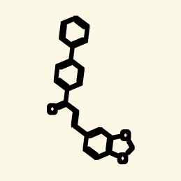 O=C(C=Cc1ccc2c(c1)OCO2)c1ccc(-c2ccccc2)cc1